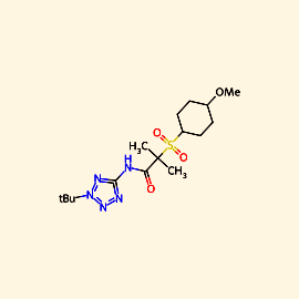 COC1CCC(S(=O)(=O)C(C)(C)C(=O)Nc2nnn(C(C)(C)C)n2)CC1